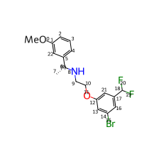 COc1cccc([C@@H](C)NCCOc2cc(Br)cc(C(F)F)c2)c1